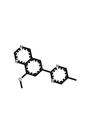 COc1cc(-c2ncc(C)cn2)cc2cncnc12